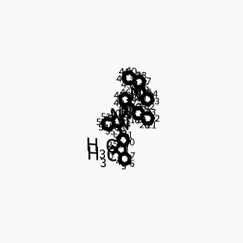 CC1(C)c2ccccc2-c2ccc(-c3nc(-n4c5cc6ccccc6cc5c5c(-n6c7ccccc7c7ccc8ccccc8c76)cccc54)nc4ccccc34)cc21